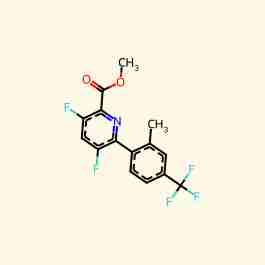 COC(=O)c1nc(-c2ccc(C(F)(F)F)cc2C)c(F)cc1F